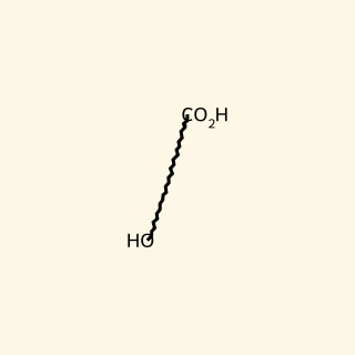 O=C(O)CC=CCCCCCCCCCCCCCCCCCCCCCCCCO